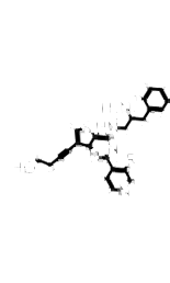 NC(CNc1nc(-c2ccncc2F)nc2c(C#CCCO)csc12)Cc1ccccc1